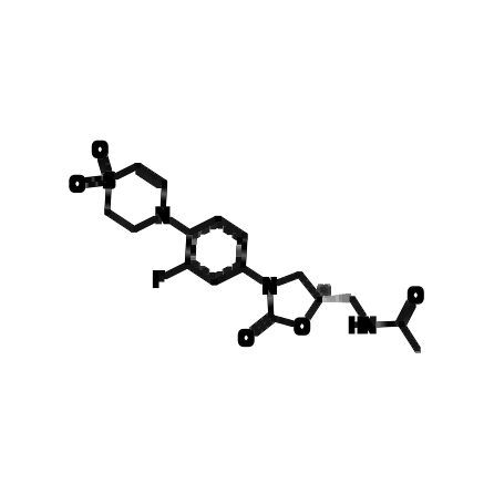 CC(=O)NC[C@H]1CN(c2ccc(N3C=CS(=O)(=O)CC3)c(F)c2)C(=O)O1